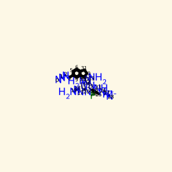 [N-]=[N+]=NCc1ccc2c(c1)[C@](N)(N(N)c1nc(N=NN)nc([C@](N)(F)CN=[N+]=[N-])n1)CC2